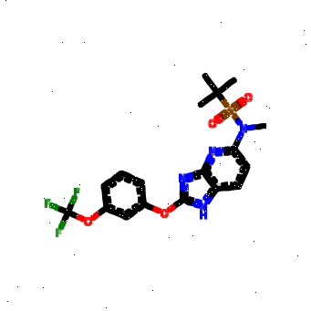 CN(c1ccc2[nH]c(Oc3cccc(OC(F)(F)F)c3)nc2n1)S(=O)(=O)C(C)(C)C